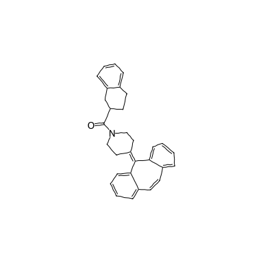 O=C(C1CCc2ccccc2C1)N1CCC(=C2c3ccccc3C=Cc3ccccc32)CC1